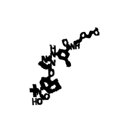 C#Cc1cc(Nc2nccc(Oc3ccc(N(C(=O)O)C(C)(C)C)c4ccccc34)n2)cc(C(=O)NCCOCCOC)c1